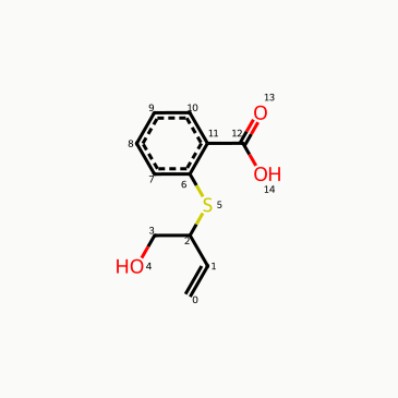 C=CC(CO)Sc1ccccc1C(=O)O